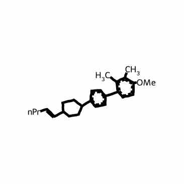 CCC/C=C/C1CCC(c2ccc(-c3ccc(OC)c(C)c3C)cc2)CC1